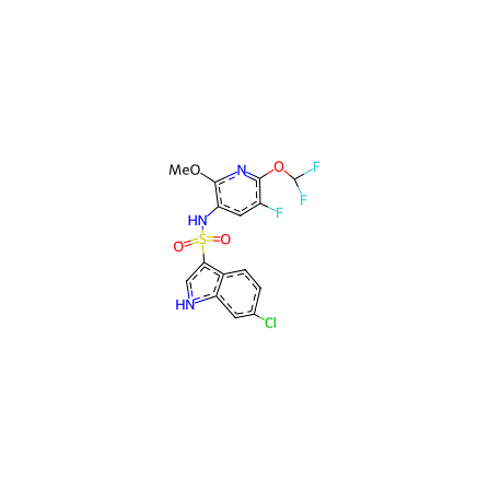 COc1nc(OC(F)F)c(F)cc1NS(=O)(=O)c1c[nH]c2cc(Cl)ccc12